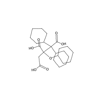 O=C(O)CC(OC1CCCCC1)(C(=O)O)C(C(=O)O)(C1CCCCC1)C1CCCCC1